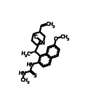 C=CC1CN2CCC1CC2[C@H](C)c1c(NC(=S)NC)ccc2ccc(OC)cc12